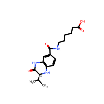 CC(C)[C@@H]1Nc2ccc(C(=O)NCCCCCC(=O)O)cc2NC1=O